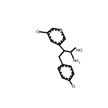 CC(N)C(Cc1ccc(Cl)cc1)c1cncc(Cl)c1.Cl